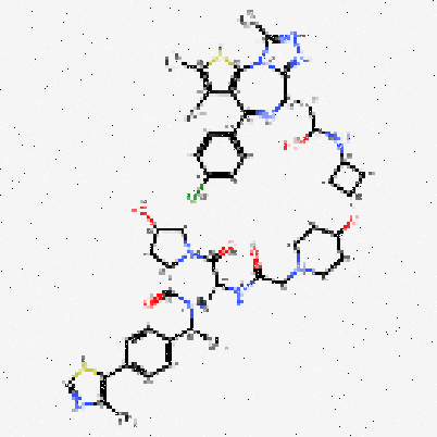 Cc1ncsc1-c1ccc([C@H](C)NC(=O)[C@@H]2C[C@@H](O)CN2C(=O)[C@@H](NC(=O)CN2CCC(O[C@H]3C[C@H](NC(O)C[C@@H]4N=C(c5ccc(Cl)cc5)c5c(sc(C)c5C)-n5c(C)nnc54)C3)CC2)C(C)(C)C)cc1